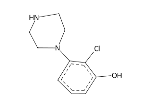 Oc1cccc(N2CCNCC2)c1Cl